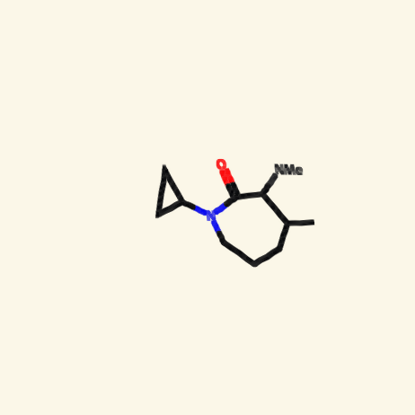 CNC1C(=O)N(C2CC2)CCCC1C